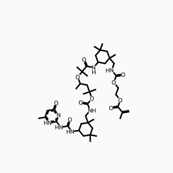 C=C(C)C(=O)OCCOC(=O)NCC1(C)CC(NC(=O)C(C)(C)OC(C)CC(C)(C)OC(=O)NCC2(C)CC(NC(=O)Nc3nc(=O)cc(C)[nH]3)CC(C)(C)C2)CC(C)(C)C1